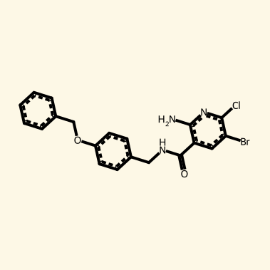 Nc1nc(Cl)c(Br)cc1C(=O)NCc1ccc(OCc2ccccc2)cc1